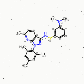 Cc1cc(C)c(-n2nc(NSc3cccc(N(C)C)c3)c3ccc(C(C)(C)C)nc32)c(C)c1